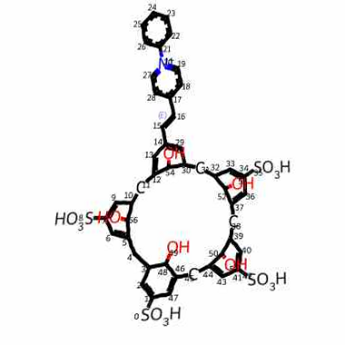 O=S(=O)(O)C1=CC2CC3=CC(S(=O)(=O)O)=CC(CC4=CC(/C=C/c5cc[n+](-c6ccccc6)cc5)=CC(CC5C=C(S(=O)(=O)O)C=C(CC6C=C(S(=O)(=O)O)C=C(CC(=C1)C2O)C6O)C5O)C4O)C3O